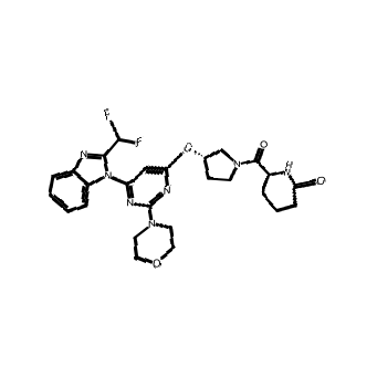 O=C1CCCC(C(=O)N2CC[C@H](Oc3cc(-n4c(C(F)F)nc5ccccc54)nc(N4CCOCC4)n3)C2)N1